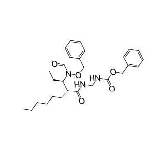 CCCCCC[C@@H](C(=O)NCNC(=O)OCc1ccccc1)[C@@H](CC)N(C=O)OCc1ccccc1